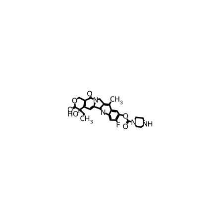 CC[C@@]1(O)C(=O)OCc2c1cc1n(c2=O)Cc2c-1nc1cc(F)c(OC(=O)N3CCNCC3)cc1c2C